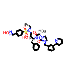 CC[C@H](C)[C@@H](C(=O)N[C@@H](Cc1ccccc1)[C@H](O)CN(CC(C)C)S(=O)(=O)c1ccc(/C=N/O)cc1)N1CCN(Cc2cccc(-c3ccccn3)c2)C1=O